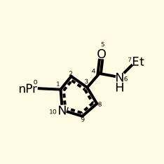 CCCc1cc(C(=O)NCC)ccn1